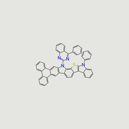 c1ccc(-c2nc(-n3c4cc5c6ccccc6c6ccccc6c5cc4c4ccc5c(sc6c5c5ccccc5n6-c5ccccc5)c43)nc3ccccc23)cc1